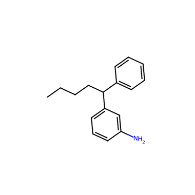 CCCCC(c1ccccc1)c1cccc(N)c1